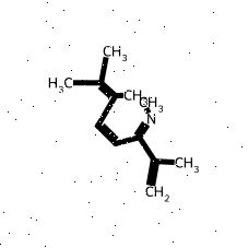 C=C(C)C(/C=C\C(C)=C(C)C)=N/C